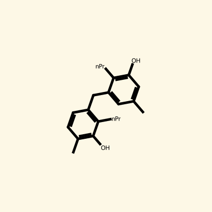 CCCc1c(O)cc(C)cc1Cc1ccc(C)c(O)c1CCC